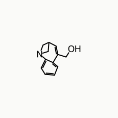 OCC1=CC2CN(C2)c2ccccc21